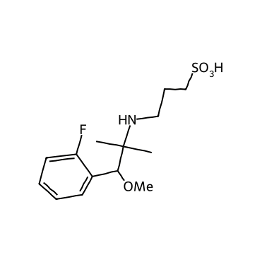 COC(c1ccccc1F)C(C)(C)NCCCS(=O)(=O)O